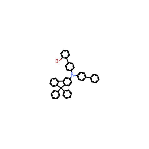 Brc1ccccc1-c1ccc(N(c2ccc(-c3ccccc3)cc2)c2ccc3c(c2)-c2ccccc2C3(c2ccccc2)c2ccccc2)cc1